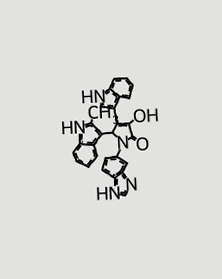 Cc1[nH]c2ccccc2c1C1C(c2c[nH]c3ccccc23)=C(O)C(=O)N1c1ccc2[nH]cnc2c1